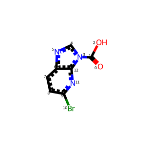 O=C(O)n1cnc2ccc(Br)nc21